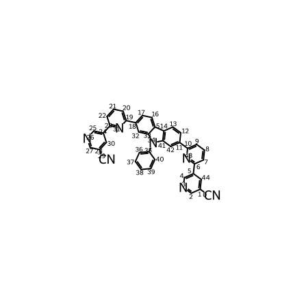 N#Cc1cncc(-c2cccc(-c3ccc4c5ccc(-c6cccc(-c7cncc(C#N)c7)n6)cc5n(-c5ccccc5)c4c3)n2)c1